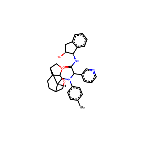 CC(C)(C)c1ccc(N(C[C@@H]2C3CCC4C(OC3)OCC42)C(C(=O)N[C@@H]2c3ccccc3C[C@@H]2O)c2cccnc2)cc1